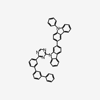 c1ccc(-c2cccc(-c3cccc(-c4ncnc(-n5c6ccccc6c6ccc(-c7ccc8c(c7)c7ccccc7n8-c7ccccc7)cc65)n4)c3)c2)cc1